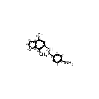 Cc1cc(NCc2ccc(N)cc2)c(C)c2sccc12